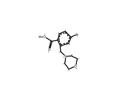 COC(=O)c1ccc(Br)cc1CN1CCOCC1